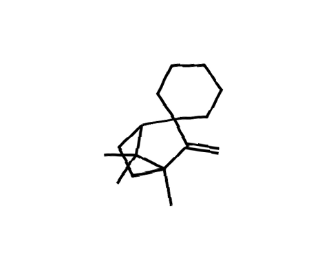 C=C1C2(CCCCC2)C2CCC1(C)C2(C)C